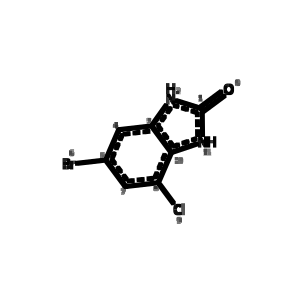 O=c1[nH]c2cc(Br)cc(Cl)c2[nH]1